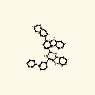 c1ccc(-c2cccc(C3=C4Sc5ccccc5C4NC(c4ccc(-c5ccc6ccccc6c5)c5oc6ccccc6c45)N3)c2)cc1